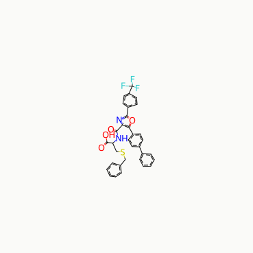 O=C(NC(CSCc1ccccc1)C(=O)O)c1nc(-c2ccc(C(F)(F)F)cc2)oc1-c1ccc(-c2ccccc2)cc1